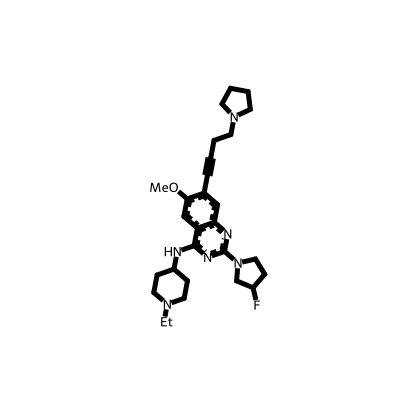 CCN1CCC(Nc2nc(N3CCC(F)C3)nc3cc(C#CCCN4CCCC4)c(OC)cc23)CC1